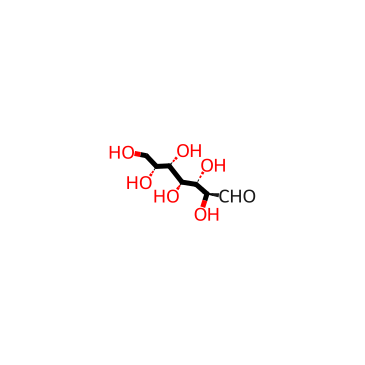 O=C[C@@H](O)[C@@H](O)[C@H](O)[C@@H](O)[C@H](O)CO